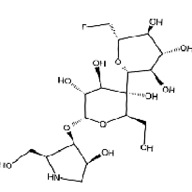 OC[C@@H]1NC[C@H](O)[C@@H]1O[C@H]1O[C@H](CO)[C@](O)([C@@H]2O[C@H](CF)[C@@H](O)[C@H](O)[C@H]2O)[C@H](O)[C@H]1O